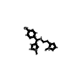 Cn1cc(C(OCCc2cccn2C)c2ccc(Cl)cc2)cn1